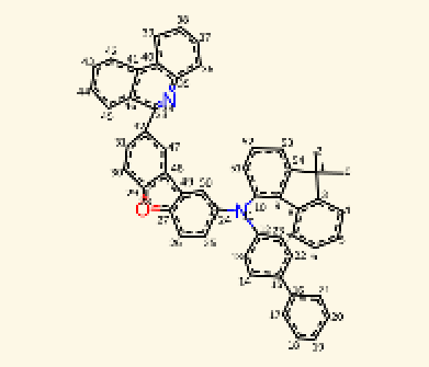 CC1(C)c2ccccc2-c2c(N(c3ccc(-c4ccccc4)cc3)c3ccc4oc5ccc(-c6nc7ccccc7c7ccccc67)cc5c4c3)cccc21